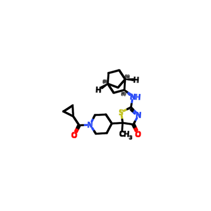 CC1(C2CCN(C(=O)C3CC3)CC2)SC(N[C@H]2C[C@@H]3CC[C@H]2C3)=NC1=O